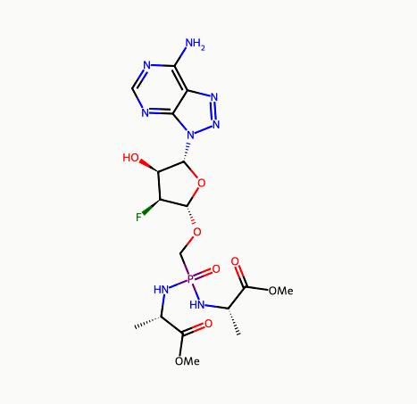 COC(=O)[C@H](C)NP(=O)(CO[C@H]1O[C@@H](n2nnc3c(N)ncnc32)[C@H](O)[C@@H]1F)N[C@@H](C)C(=O)OC